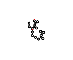 c1ccc(-c2cccc(-c3cc(-c4ccc(-c5cccc(-c6ccc(-c7cccc(-n8c9ccccc9c9cc(-n%10c%11ccccc%11c%11ccccc%11%10)ccc98)c7)cc6)c5)cc4)cc(-n4c5ccccc5c5cc(-n6c7ccccc7c7ccccc76)ccc54)c3)c2)cc1